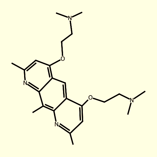 Cc1cc(OCCN(C)C)c2cc3c(OCCN(C)C)cc(C)nc3c(C)c2n1